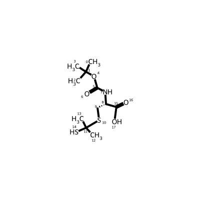 CC(C)(C)OC(=O)N[C@@H](CSC(C)(C)S)C(=O)O